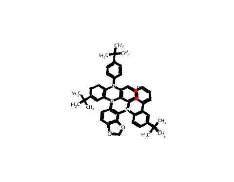 Cc1cc2c3c(c1)N(c1ccc(C(C)(C)C)cc1-c1ccccc1)c1c(ccc4c1OCO4)B3C1=C(CCC(C(C)(C)C)=C1)N2c1ccc(C(C)(C)C)cc1